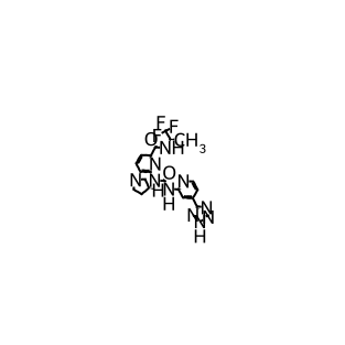 C[C@@H](NC(=O)c1ccc2c(n1)N(C(=O)Nc1cc(-c3nn[nH]n3)ccn1)[C@H]1CCN2C1)C(F)(F)F